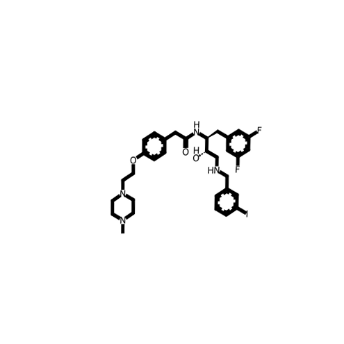 CN1CCN(CCOc2ccc(CC(=O)N[C@@H](Cc3cc(F)cc(F)c3)[C@@H](O)CNCc3cccc(I)c3)cc2)CC1